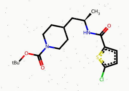 C[C@H](CC1CCN(C(=O)OC(C)(C)C)CC1)NC(=O)c1ccc(Cl)s1